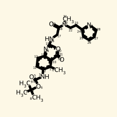 Cc1c(NC(=O)OC(C)(C)C)ccc2nc(NCC(=O)N(C)CCc3ccccn3)oc(=O)c12